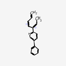 C=C/C=C\C(=C/C)c1ccc(-c2ccccc2)cn1